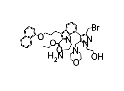 CCOC(=O)c1c(CCCOc2cccc3ccccc23)c2cccc(-c3c(CBr)nn(CCO)c3CN3CCOCC3)c2n1CCCN